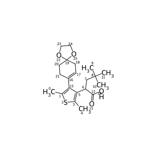 Cc1sc(C)c(C(CC(C)(C)C)C(=O)O)c1C1=CCC2(CC1)OCCO2